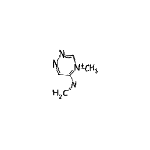 C=Nc1cnnc[n+]1C